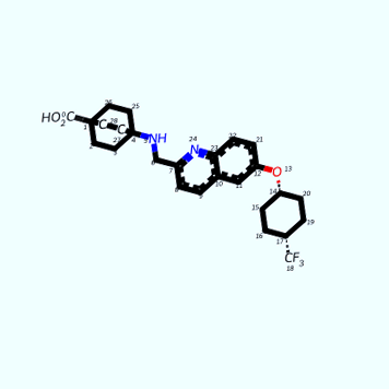 O=C(O)C12CCC(NCc3ccc4cc(O[C@H]5CC[C@@H](C(F)(F)F)CC5)ccc4n3)(CC1)CC2